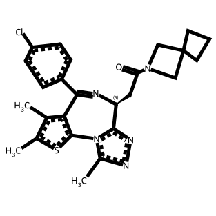 Cc1sc2c(c1C)C(c1ccc(Cl)cc1)=N[C@@H](CC(=O)N1CC3(CCC3)C1)c1nnc(C)n1-2